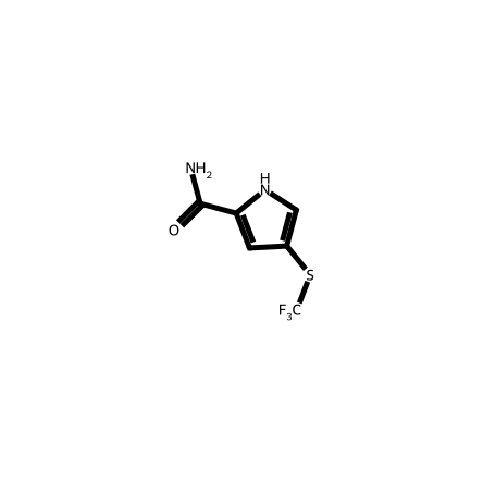 NC(=O)c1cc(SC(F)(F)F)c[nH]1